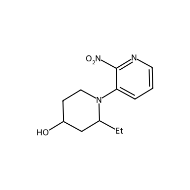 CCC1CC(O)CCN1c1cccnc1[N+](=O)[O-]